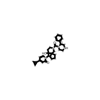 O=C(N1CCC(O)(Cn2ccc(C3CC3)cc2=O)C2(CCCC2)C1)N1CCNCC1c1ccccc1